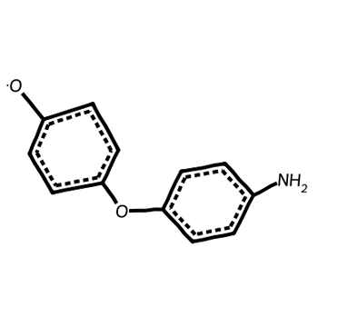 Nc1ccc(Oc2ccc([O])cc2)cc1